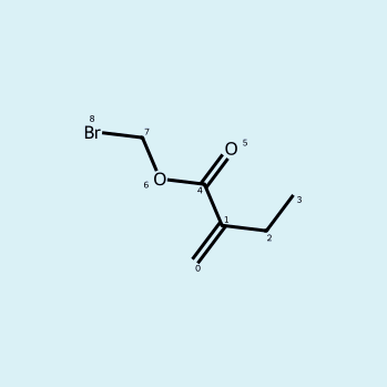 C=C(CC)C(=O)OCBr